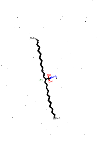 CCCCCCCCCCCCCCCCCCCCCCC(CCCCCCCCCCCCCCCCCCCCCC)C(N)(O)O.Cl